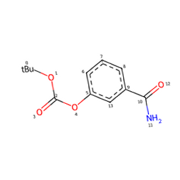 CC(C)(C)OC(=O)Oc1c[c]cc(C(N)=O)c1